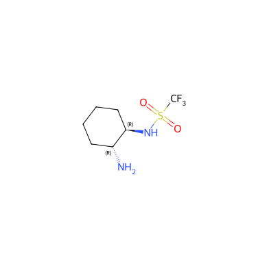 N[C@@H]1CCCC[C@H]1NS(=O)(=O)C(F)(F)F